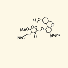 CCCCCc1cc(OCC(=O)NC(CCSC)C(=O)OC)c2c(c1)OCC1CCC(C)=CC21